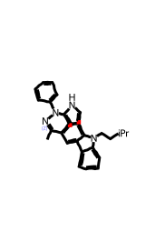 C/C(=N/N(c1ccccc1)c1ccc[nH]1)c1ccc2c(c1)c1ccccc1n2CCC(C)C